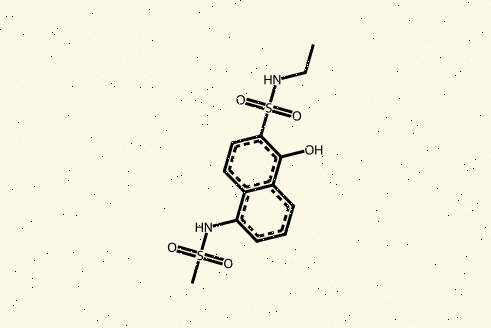 CCNS(=O)(=O)c1ccc2c(NS(C)(=O)=O)cccc2c1O